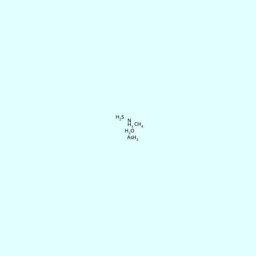 C.N.O.S.[AsH3]